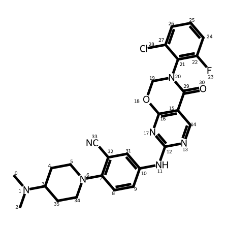 CN(C)C1CCN(c2ccc(Nc3ncc4c(n3)OCN(c3c(F)cccc3Cl)C4=O)cc2C#N)CC1